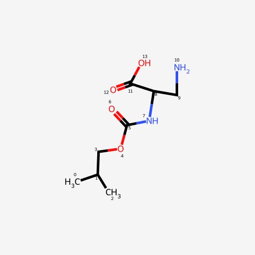 CC(C)COC(=O)NC(CN)C(=O)O